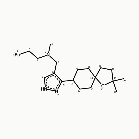 CN(C[CH]C(C)(C)C)Cc1c[nH]nc1C1CCC2(CC1)CCC(C)(C)O2